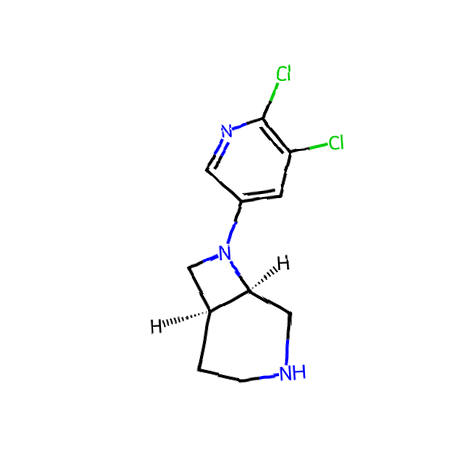 Clc1cc(N2C[C@@H]3CCNC[C@@H]32)cnc1Cl